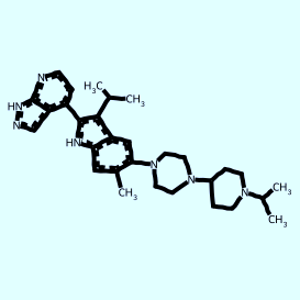 Cc1cc2[nH]c(-c3ccnc4[nH]ncc34)c(C(C)C)c2cc1N1CCN(C2CCN(C(C)C)CC2)CC1